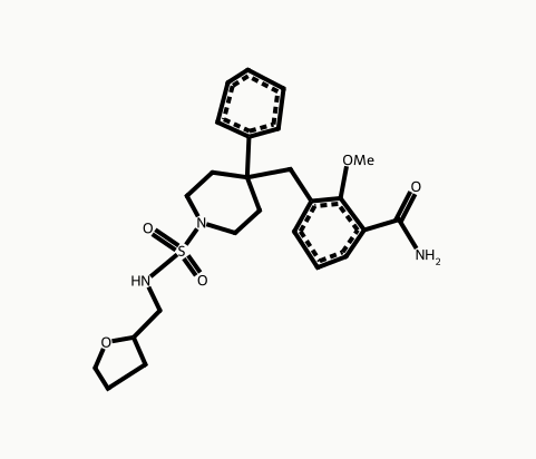 COc1c(CC2(c3ccccc3)CCN(S(=O)(=O)NCC3CCCO3)CC2)cccc1C(N)=O